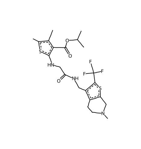 Cc1sc(NCC(=O)NCc2c(C(F)(F)F)sc3c2CCN(C)C3)c(C(=O)OC(C)C)c1C